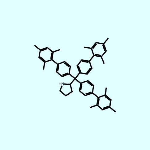 Cc1cc(C)c(-c2ccc(C(c3ccc(-c4c(C)cc(C)cc4C)cc3)(c3ccc(-c4c(C)cc(C)cc4C)cc3)C3CCCN3)cc2)c(C)c1